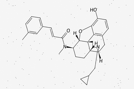 Cc1cccc(C=CC(=O)N(C)[C@@H]2CC[C@H]3[C@H]4Cc5ccc(O)c6c5[C@@]3(CCN4CC3CC3)[C@H]2O6)c1